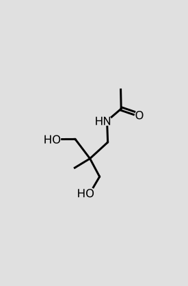 CC(=O)NCC(C)(CO)CO